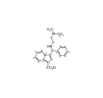 CCOC(=O)c1cc(C(NCCN(C)C)c2ccccc2)n2ccccc12